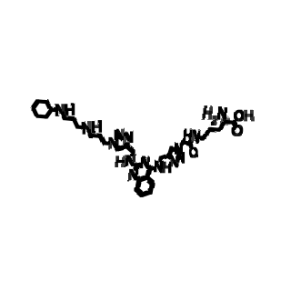 N[C@@H](CCCNC(=O)Cn1cc(CNc2nc(NCc3cn(CCCNCCCNC4CCCCC4)nn3)nc3ccccc23)nn1)C(=O)O